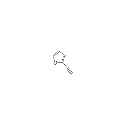 C#Cc1[c]cco1